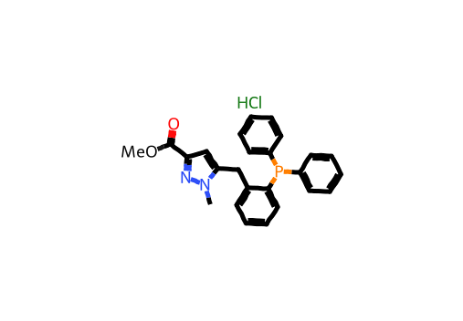 COC(=O)c1cc(Cc2ccccc2P(c2ccccc2)c2ccccc2)n(C)n1.Cl